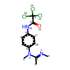 CN=C(C)N(C)c1ccc(NC(=O)C(Cl)(Cl)Cl)cc1